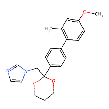 COc1ccc(-c2ccc(C3(Cn4ccnc4)OCCCO3)cc2)c(C)c1